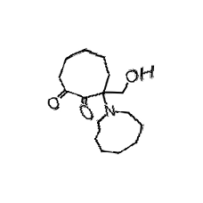 O=C1CCCCCC(CO)(N2CCCCCCC2)C1=O